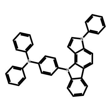 c1ccc(N(c2ccccc2)c2ccc(-n3c4ccccc4c4ccc5c(ccn5-c5ccccc5)c43)cc2)cc1